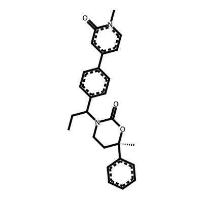 CCC(c1ccc(-c2ccn(C)c(=O)c2)cc1)N1CC[C@](C)(c2ccccc2)OC1=O